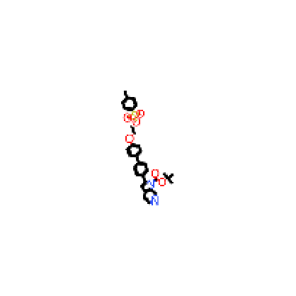 Cc1ccc(S(=O)(=O)OCCOc2ccc(-c3ccc(-c4cc5ccncc5n4C(=O)OC(C)(C)C)cc3)cc2)cc1